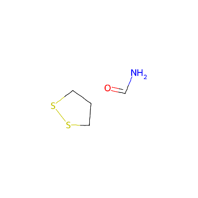 C1CSSC1.NC=O